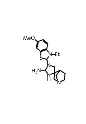 CCN1c2ccc(OC)cc2SC1N1CC2(CN3CCC2CC3)NC1N